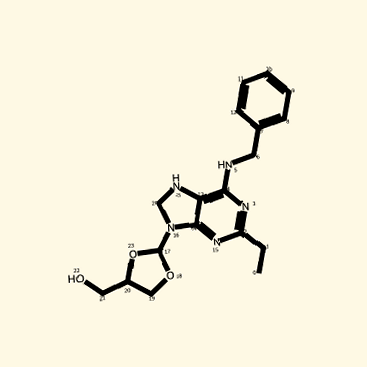 CCc1nc(NCc2ccccc2)c2c(n1)N(C1OCC(CO)O1)CN2